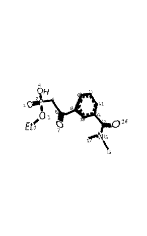 CCOP(=O)(O)CC(=O)c1cccc(C(=O)N(C)C)c1